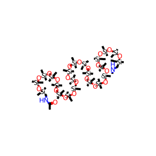 CNC[Si](C)(C)O[Si](C)(C)O[Si](C)(C)O[Si](C)(C)O[Si](C)(C)O[Si](C)(C)O[Si](C)(C)O[Si](C)(C)O[Si](C)(C)O[Si](C)(C)O[Si](C)(C)O[Si](C)(C)O[Si](C)(C)O[Si](C)(C)O[Si](C)(C)O[Si](C)(C)O[Si](C)(C)O[Si](C)(C)O[Si](C)(C)O[Si](C)(C)O[Si](C)(C)CNC(C)=O